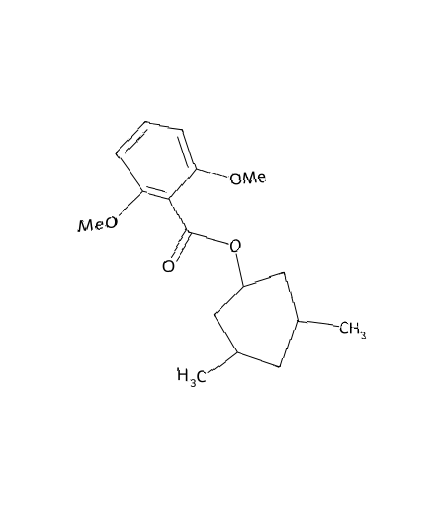 COc1cccc(OC)c1C(=O)OC1CC(C)CC(C)C1